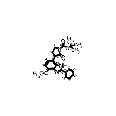 COc1ccc(C2CCN(C(=O)OC(C)(C)C)C2=O)c2[nH]c(-c3ccccc3)nc12